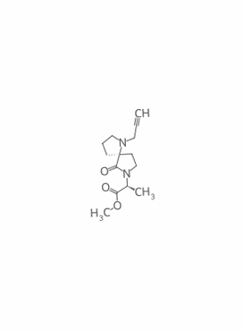 C#CCN1CCC[C@@]12CCN([C@@H](C)C(=O)OC)C2=O